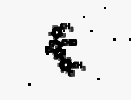 CCc1sc(-c2ccc(Cl)c(C)c2)nc1C(C=O)C(=O)[C@@H]1CC[C@@H](C)C1